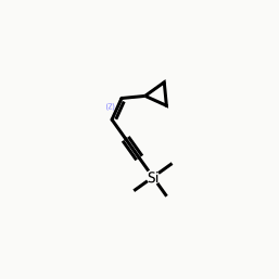 C[Si](C)(C)C#C/C=C\C1CC1